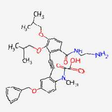 CC(C)COc1ccc(C(=O)NCCN)c(C#Cc2cc(OCc3ccccc3)ccc2N(C)C(=O)C(=O)O)c1OCC(C)C